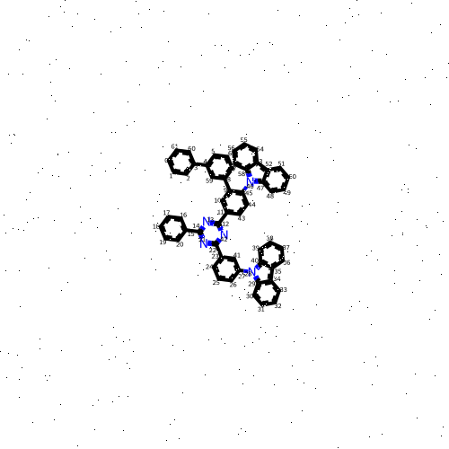 c1ccc(-c2cccc(-c3cc(-c4nc(-c5ccccc5)nc(-c5cccc(-n6c7ccccc7c7ccccc76)c5)n4)ccc3-n3c4ccccc4c4ccccc43)c2)cc1